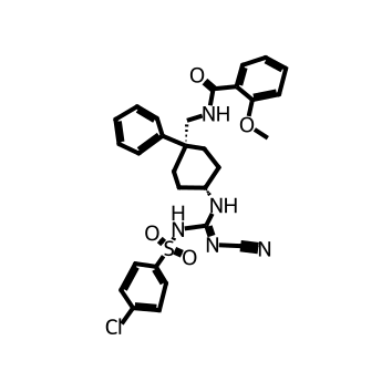 COc1ccccc1C(=O)NC[C@]1(c2ccccc2)CC[C@H](N/C(=N\C#N)NS(=O)(=O)c2ccc(Cl)cc2)CC1